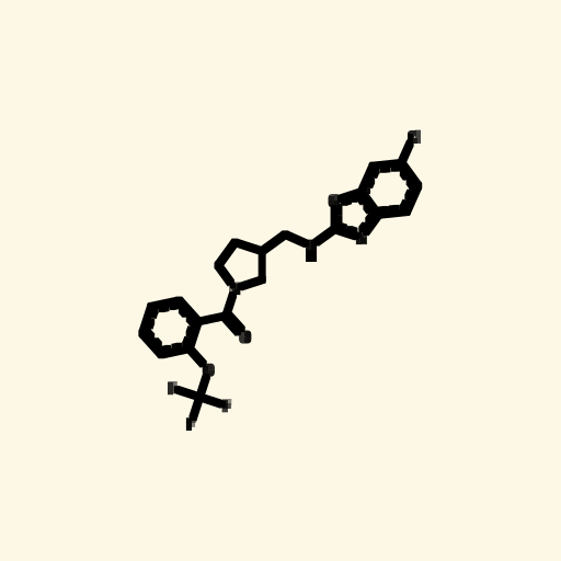 O=C(c1ccccc1OC(F)(F)F)N1CCC(CNc2nc3ccc(Cl)cc3o2)C1